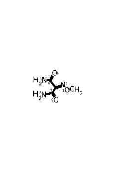 CON=C(C(N)=O)C(N)=O